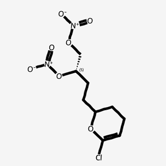 O=[N+]([O-])OC[C@H](CCC1CCC=C(Cl)O1)O[N+](=O)[O-]